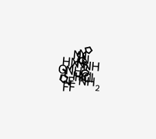 Cl.Cl.NC1CCC(Nc2nc(NCCNC(=O)c3cccc(C(F)(F)F)c3)c3ncn(C4CCCC4)c3n2)CC1